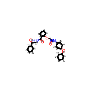 O=C(COc1ccccc1C(=O)NCC(=O)c1ccccc1)Nc1ccc(Oc2ccccc2)cc1